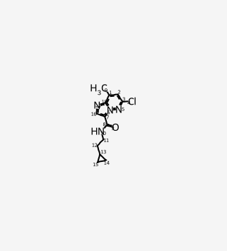 Cc1cc(Cl)nn2c(C(=O)NCCC3CC3)cnc12